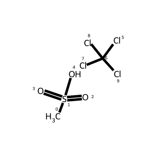 CS(=O)(=O)O.ClC(Cl)(Cl)Cl